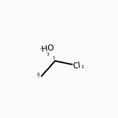 [CH2]CCl.[OH]